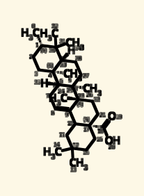 C[C@H]1CC[C@]2(C)[C@H]3CC=C4C5CC(C)(C)CC[C@]5(C(=O)O)CC[C@@]4(C)[C@]3(C)CC[C@H]2C1(C)C